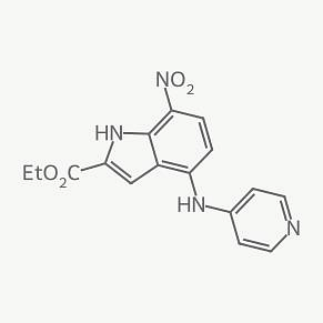 CCOC(=O)c1cc2c(Nc3ccncc3)ccc([N+](=O)[O-])c2[nH]1